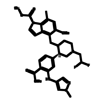 COC(=O)c1ccc([C@H]2CN(CC(F)F)CCN2Cc2c(OC)cc(C)c3c2ccn3C(=O)OC(C)(C)C)cc1Nc1cnn(C)c1